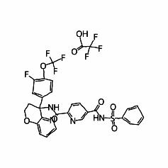 O=C(NS(=O)(=O)c1ccccc1)c1ccc(C(=O)NC2(c3ccc(OC(F)(F)F)c(F)c3)CCOc3cccnc32)nc1.O=C(O)C(F)(F)F